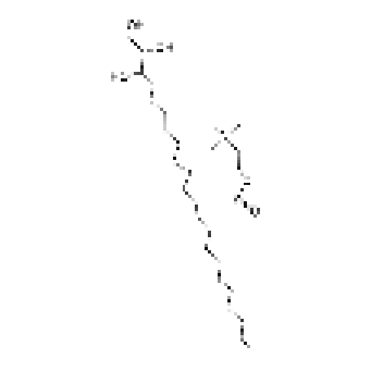 CCCCCCCCCCCCCCCCCCCC(O)C(O)CO.C[N+](C)(C)CCOP=O